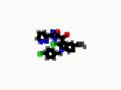 Cc1ccc2c(c1)c(C(=O)c1nc(-c3cccnn3)no1)c(Cl)n2Cc1ccc(Cl)cc1